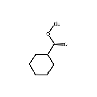 CC(C)(C)OC(=O)C1CC[CH]CC1